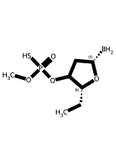 B[C@H]1CC(OP(=O)(S)OC)[C@@H](CC)O1